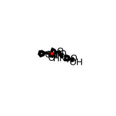 O=C(NC(=O)C1CCC2CN1C(=O)N2OCc1ccccc1)NC1CCN(C(=O)O)CC1